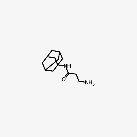 NCCC(=O)NC12CC3CC(CC(C3)C1)C2